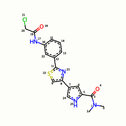 CN(C)C(=O)c1cc(-c2csc(-c3cccc(NC(=O)CCl)c3)n2)c[nH]1